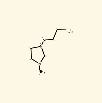 CCCSN1CCN(N)C1